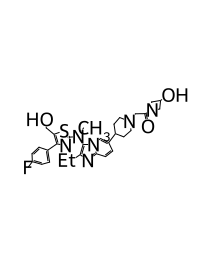 CCc1nc2ccc(C3CCN(CC(=O)N4CC(O)C4)CC3)cn2c1N(C)c1nc(-c2ccc(F)cc2)c(CO)s1